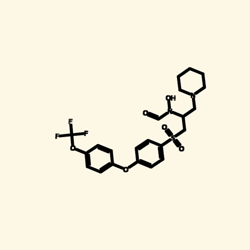 O=CN(O)C(CN1CCCCC1)CS(=O)(=O)c1ccc(Oc2ccc(OC(F)(F)F)cc2)cc1